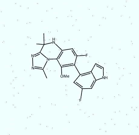 COc1c(-c2cc(F)cc3[nH]ccc23)c(F)cc2c1-n1c(C)nnc1C(C)(C)N2